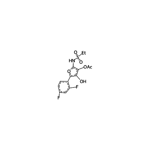 CCS(=O)(=O)Nc1oc(-c2ccc(F)cc2F)c(O)c1OC(C)=O